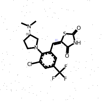 CN(C)[C@H]1CCN(c2c(Cl)cc(C(F)(F)F)cc2/C=C2/SC(=O)NC2=O)C1